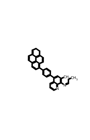 CC/C=N\c1c(C)cc(-c2ccc(-c3ccc4ccc5c6c(ccc3c46)CCC=5)cc2)c2cccnc12